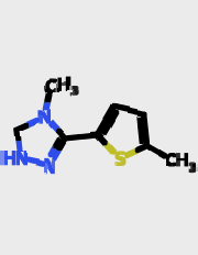 Cc1ccc(C2=NNCN2C)s1